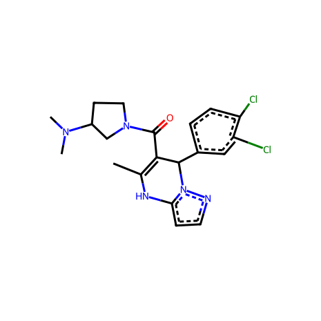 CC1=C(C(=O)N2CCC(N(C)C)C2)C(c2ccc(Cl)c(Cl)c2)n2nccc2N1